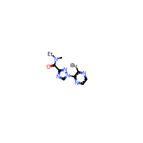 CCC(C)c1nccnc1-n1cnc(C(=O)N(C)CC)n1